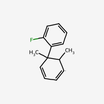 CC1[C]=CC=CC1(C)c1ccccc1F